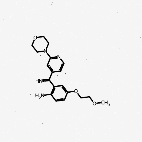 COCCOc1ccc(N)c(C(=N)c2ccnc(N3CCOCC3)c2)c1